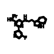 CC(C)Nc1cc(NCCc2c[nH]c3ccccc23)nc(-c2cncc(F)c2)n1